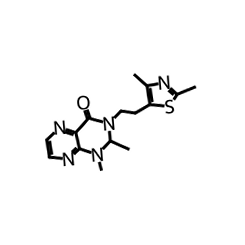 Cc1nc(C)c(CCN2C(=O)c3nccnc3N(C)C2C)s1